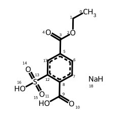 CCOC(=O)c1ccc(C(=O)O)c(S(=O)(=O)O)c1.[NaH]